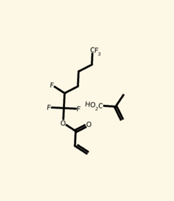 C=C(C)C(=O)O.C=CC(=O)OC(F)(F)C(F)CCCC(F)(F)F